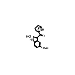 COc1ccc2[nH]nc(C(=O)N3CC4CCC3CN4)c2c1.Cl